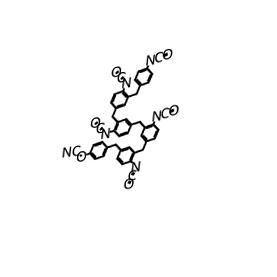 N#COc1ccc(Cc2ccc(N=C=O)c(Cc3ccc(N=C=O)c(Cc4ccc(N=C=O)c(Cc5ccc(N=C=O)c(Cc6ccc(N=C=O)cc6)c5)c4)c3)c2)cc1